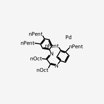 CCCCCCCCC(=Nc1ccc(CCCCC)c(CCCCC)c1)C(CCCCCCCC)=Nc1ccc(CCCCC)c(CCCCC)c1.[Pd]